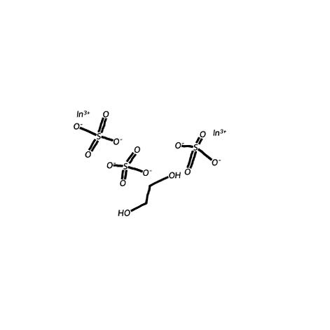 O=S(=O)([O-])[O-].O=S(=O)([O-])[O-].O=S(=O)([O-])[O-].OCCO.[In+3].[In+3]